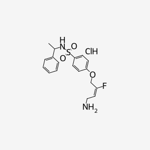 CC(NS(=O)(=O)c1ccc(OC/C(F)=C\CN)cc1)c1ccccc1.Cl